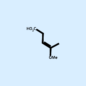 COC(C)=CCC(=O)O